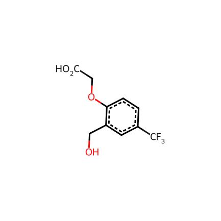 O=C(O)COc1ccc(C(F)(F)F)cc1CO